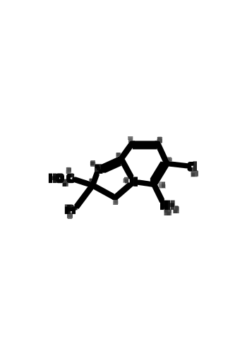 CC(C)C1(C(=O)O)CN2C(=N1)C=CC(Cl)=C2N